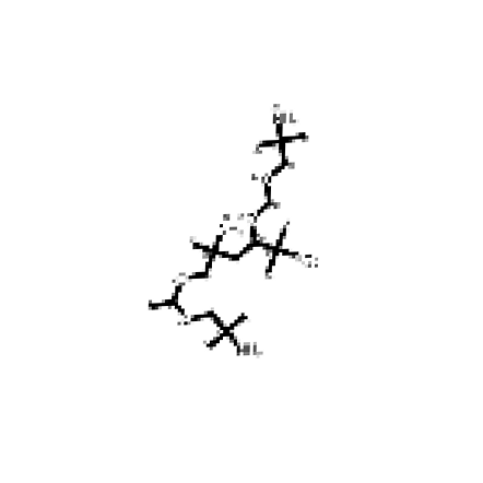 CC(OCC(C)(C)N)OCC(C)(N)CC(OCOCC(C)(C)N)C(C)(C)N